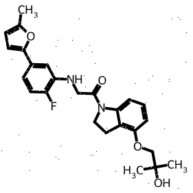 Cc1ccc(-c2ccc(F)c(NCC(=O)N3CCc4c(OCC(C)(C)O)cccc43)c2)o1